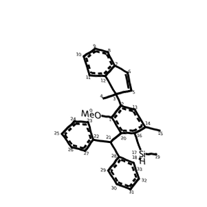 COc1c(C2(C)C=Cc3ccccc32)cc(C)c([SiH](C)C)c1C(c1ccccc1)c1ccccc1